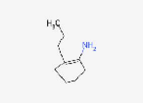 CCCC1=C(N)CCCC1